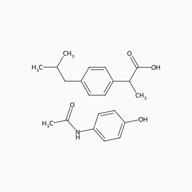 CC(=O)Nc1ccc(O)cc1.CC(C)Cc1ccc(C(C)C(=O)O)cc1